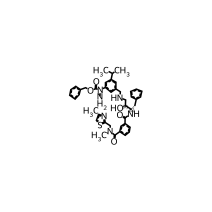 Cc1csc(CN(C)C(=O)c2cccc(C(=O)N[C@@H](Cc3ccccc3)[C@H](O)CNCc3cc(C(C)C)cc(N(N)C(=O)OCc4ccccc4)c3)c2)n1